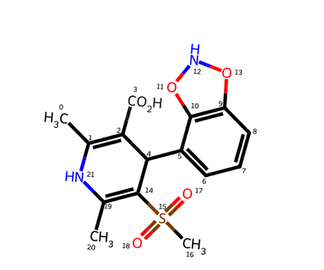 CC1=C(C(=O)O)C(c2cccc3c2ONO3)C(S(C)(=O)=O)=C(C)N1